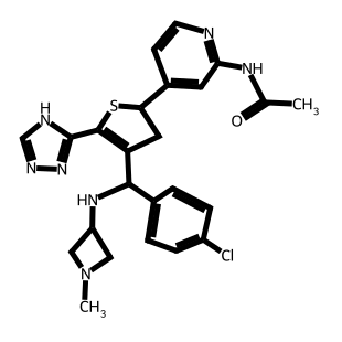 CC(=O)Nc1cc(C2CC(C(NC3CN(C)C3)c3ccc(Cl)cc3)=C(c3nnc[nH]3)S2)ccn1